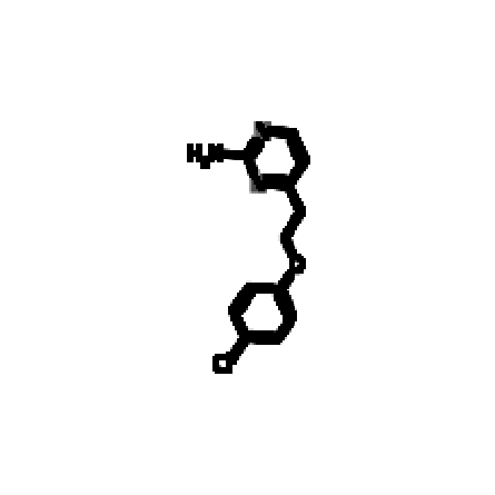 Nc1nccc(CCOc2ccc(Cl)cc2)n1